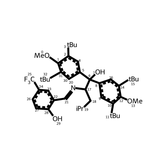 COc1c(C(C)(C)C)cc(C(O)(c2cc(C(C)(C)C)c(OC)c(C(C)(C)C)c2)C(CC(C)C)N=Cc2cc(C(F)(F)F)ccc2O)cc1C(C)(C)C